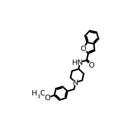 COc1ccc(CN2CCC(NC(=O)c3cc4ccccc4o3)CC2)cc1